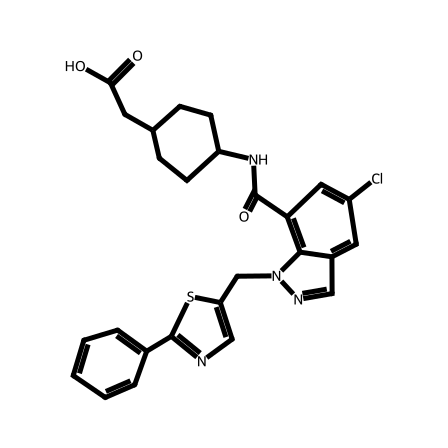 O=C(O)CC1CCC(NC(=O)c2cc(Cl)cc3cnn(Cc4cnc(-c5ccccc5)s4)c23)CC1